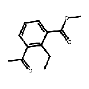 CCc1c(C(C)=O)cccc1C(=O)OC